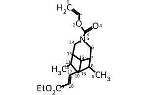 C=COC(=O)N1CC2C(C)CC(C)C(C1)C2CC=CC(=O)OCC